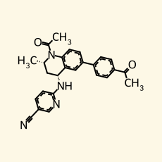 CC(=O)c1ccc(-c2ccc3c(c2)[C@H](Nc2ccc(C#N)cn2)C[C@H](C)N3C(C)=O)cc1